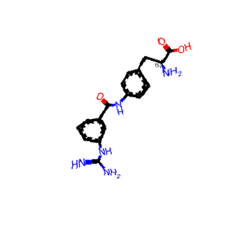 N=C(N)Nc1cccc(C(=O)Nc2ccc(C[C@H](N)C(=O)O)cc2)c1